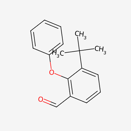 CC(C)(C)c1cccc(C=O)c1Oc1ccccc1